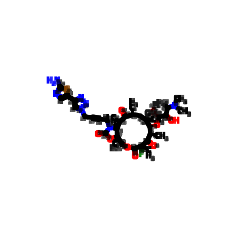 CCO[C@@H](O[C@@H]1[C@@H](C)C(=O)[C@](C)(F)C(=O)O[C@H](CC)[C@@]2(C)OC(=O)N(CC#CCn3cc(-c4cnc(N)s4)nn3)[C@@H]2[C@@H](C)C(=O)[C@H](C)C[C@@]1(C)OC)C(O)C(CC)N(C)C